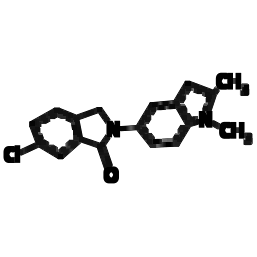 Cc1cc2cc(N3Cc4ccc(Cl)cc4C3=O)ccc2n1C